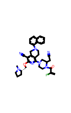 C=C(F)C(=O)N1CCN(c2nc(OC[C@@H]3CCCN3C)c(C#N)c3c2CCN(c2cccc4ccccc24)C3)CC1CC#N